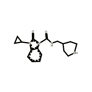 O=C(NCC1CCNCC1)n1c(=O)n(C2CC2)c2ccccc21